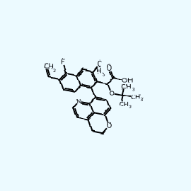 C=Cc1ccc2c(-c3ccc4c5c(ccnc35)CCO4)c(C(OC(C)(C)C)C(=O)O)c(C)cc2c1F